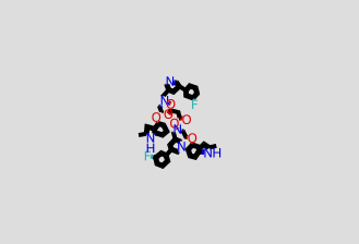 Cc1cc2c(OCCN(Cc3cncc(-c4cccc(F)c4)c3)OC(=O)CC(=O)ON(CCOc3cccc4[nH]c(C)cc34)Cc3cncc(-c4cccc(F)c4)c3)cccc2[nH]1